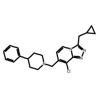 Clc1c(CN2CCC(c3ccccc3)CC2)ccn2c(CC3CC3)nnc12